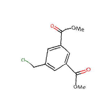 COC(=O)c1cc(CCl)cc(C(=O)OC)c1